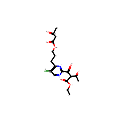 CCOC(=O)C(C(C)=O)C(=O)c1ncc(Br)c(CCCOC(=O)CC(C)=O)n1